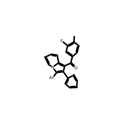 CC(=O)c1c(-c2ccccc2)c(C(=O)c2ccc(C)c(F)c2)c2ccccn12